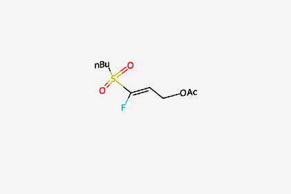 CCCCS(=O)(=O)C(F)=CCOC(C)=O